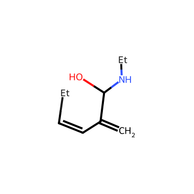 C=C(/C=C\CC)C(O)NCC